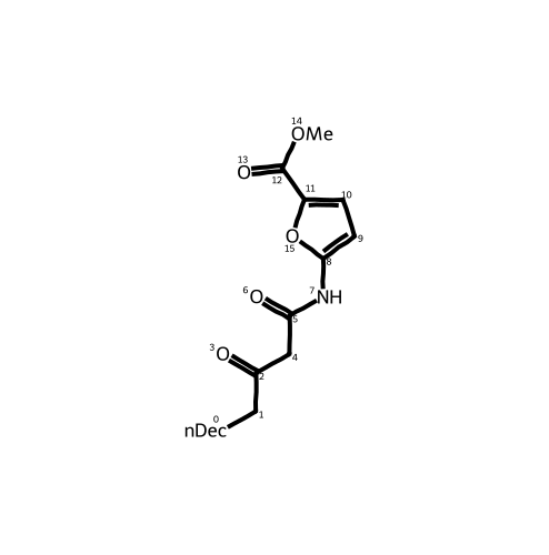 CCCCCCCCCCCC(=O)CC(=O)Nc1ccc(C(=O)OC)o1